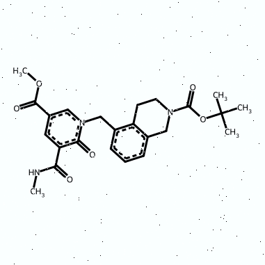 CNC(=O)c1cc(C(=O)OC)cn(Cc2cccc3c2CCN(C(=O)OC(C)(C)C)C3)c1=O